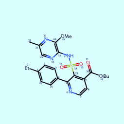 CCc1ccc(-c2nccc(C(=O)OCC(C)C)c2S(=O)(=O)Nc2ncc(C)nc2OC)cc1